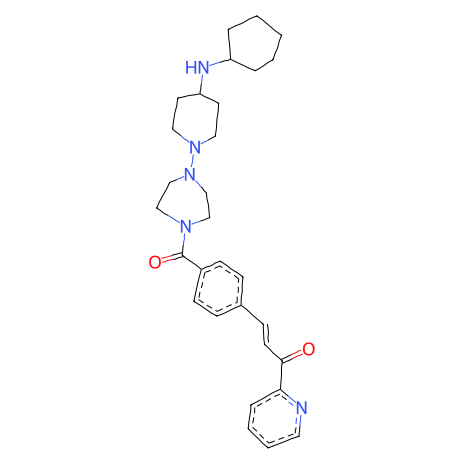 O=C(C=Cc1ccc(C(=O)N2CCN(N3CCC(NC4CCCCC4)CC3)CC2)cc1)c1ccccn1